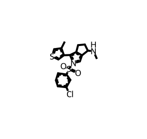 CNC1CCc2c1cn(S(=O)(=O)c1cccc(Cl)c1)c2-c1cscc1C